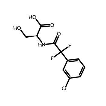 O=C(O)[C@H](CO)NC(=O)C(F)(F)c1cccc(Cl)c1